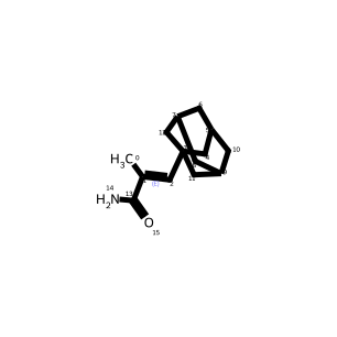 C/C(=C\C12CC3CC(CC(C3)C1)C2)C(N)=O